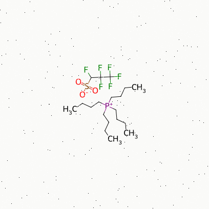 CCCC[P+](CCCC)(CCCC)CCCC.O=S(=O)([O-])C(F)C(F)(F)C(F)(F)F